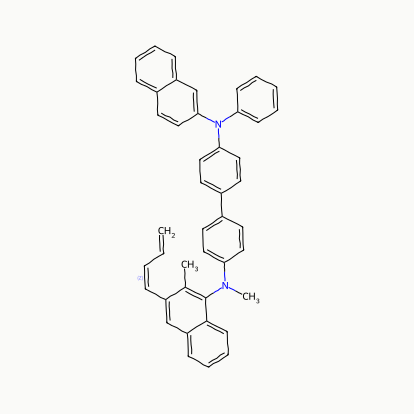 C=C/C=C\c1cc2ccccc2c(N(C)c2ccc(-c3ccc(N(c4ccccc4)c4ccc5ccccc5c4)cc3)cc2)c1C